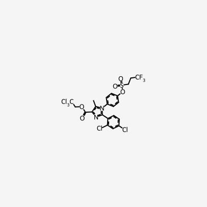 Cc1c(C(=O)OCC(Cl)(Cl)Cl)nc(-c2ccc(Cl)cc2Cl)n1-c1ccc(OS(=O)(=O)CCC(F)(F)F)cc1